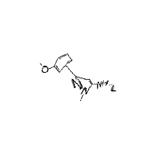 COc1cccc(-c2cc(N)n(C)n2)c1